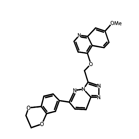 COc1ccc2c(OCc3nnc4ccc(-c5ccc6c(c5)OCCO6)nn34)ccnc2c1